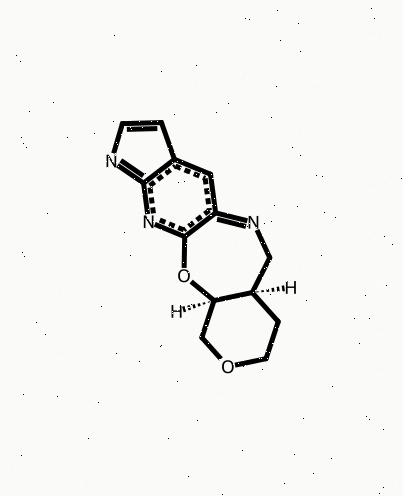 C1=Cc2cc3c(nc2=N1)O[C@@H]1COCC[C@@H]1CN=3